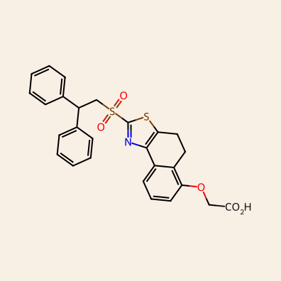 O=C(O)COc1cccc2c1CCc1sc(S(=O)(=O)CC(c3ccccc3)c3ccccc3)nc1-2